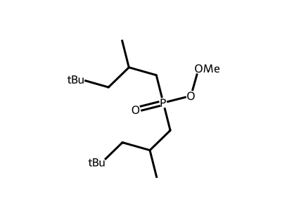 COOP(=O)(CC(C)CC(C)(C)C)CC(C)CC(C)(C)C